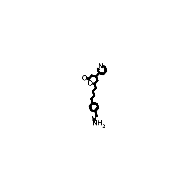 NN=Cc1ccc(CCCCC2CC(c3cccnc3)CC(=O)O2)cc1